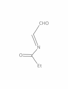 CCC(=O)N=CC=O